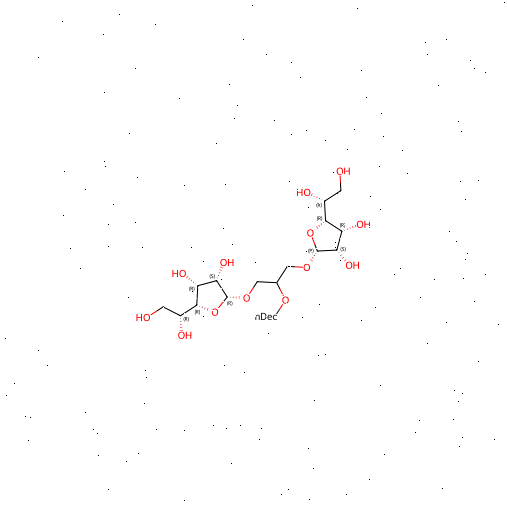 CCCCCCCCCCOC(CO[C@@H]1O[C@H]([C@H](O)CO)[C@H](O)[C@@H]1O)CO[C@@H]1O[C@H]([C@H](O)CO)[C@H](O)[C@@H]1O